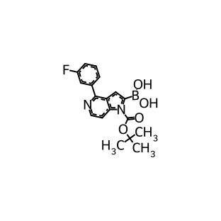 CC(C)(C)OC(=O)n1c(B(O)O)cc2c(-c3cccc(F)c3)nccc21